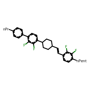 CCCCCc1ccc(/C=C/C2CCC(c3ccc(-c4ccc(CCC)cc4)c(F)c3F)CC2)c(F)c1F